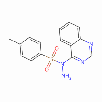 Cc1ccc(S(=O)(=O)N(N)c2ncnc3ccccc23)cc1